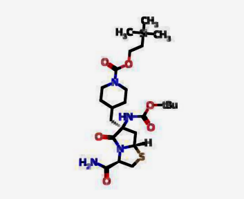 CC(C)(C)OC(=O)N[C@@]1(CC2CCN(C(=O)OCC[Si](C)(C)C)CC2)C[C@@H]2SC[C@@H](C(N)=O)N2C1=O